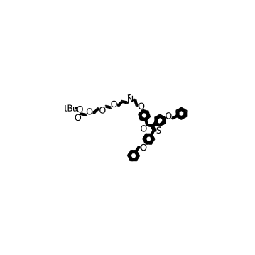 CN(CCCOCCOCCOCC(=O)OC(C)(C)C)CCOc1ccc(C(=O)c2c(-c3ccc(OCc4ccccc4)cc3)sc3cc(OCc4ccccc4)ccc23)cc1